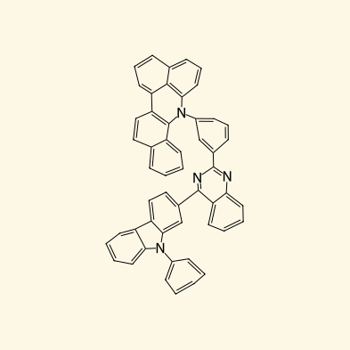 c1ccc(-n2c3ccccc3c3ccc(-c4nc(-c5cccc(N6c7c(ccc8ccccc78)-c7cccc8cccc6c78)c5)nc5ccccc45)cc32)cc1